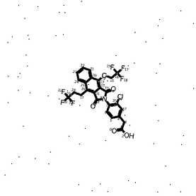 O=C(O)Cc1ccc(N2C(=O)c3c(c(OCC(F)(F)F)c4ccccc4c3CCC(F)(F)F)C2=O)c(Cl)c1